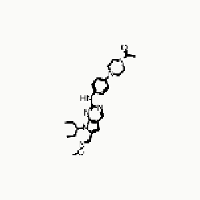 CCC(CC)n1c(C=NOC)cc2cnc(Nc3ccc(N4CCN(C(C)=O)CC4)cc3)nc21